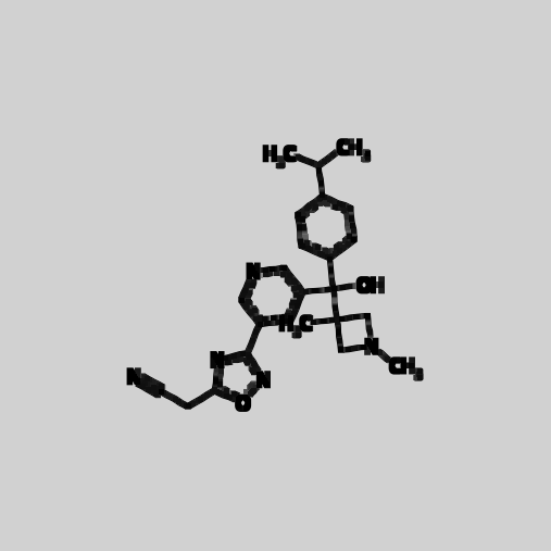 CC(C)c1ccc(C(O)(c2cncc(-c3noc(CC#N)n3)c2)C2(C)CN(C)C2)cc1